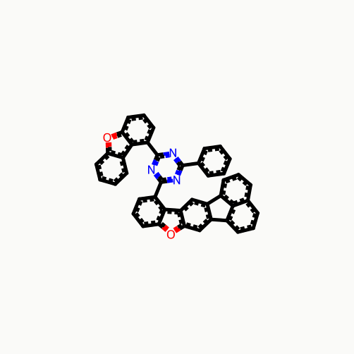 c1ccc(-c2nc(-c3cccc4oc5ccccc5c34)nc(-c3cccc4oc5cc6c(cc5c34)-c3cccc4cccc-6c34)n2)cc1